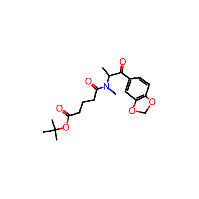 CC(C(=O)c1ccc2c(c1)OCO2)N(C)C(=O)CCCC(=O)OC(C)(C)C